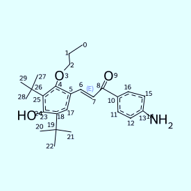 CCCOc1c(/C=C/C(=O)c2ccc(N)cc2)cc(C(C)(C)C)c(O)c1C(C)(C)C